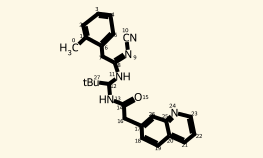 Cc1ccccc1C/C(=N\C#N)NC(NC(=O)Cc1ccc2cccnc2c1)C(C)(C)C